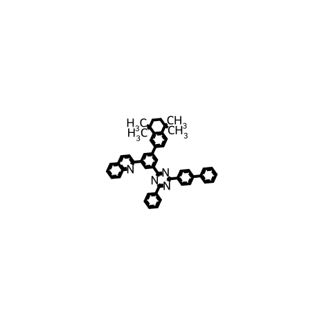 CC1(C)CCC(C)(C)c2cc(-c3cc(-c4ccc5ccccc5n4)cc(-c4nc(-c5ccccc5)nc(-c5ccc(-c6ccccc6)cc5)n4)c3)ccc21